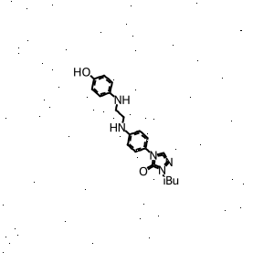 CCC(C)n1ncn(-c2ccc(NCCNc3ccc(O)cc3)cc2)c1=O